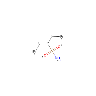 CC(C)CC(CC(C)C)S(N)(=O)=O